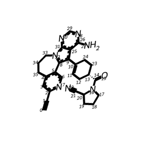 C#Cc1cc2c(cn1)-c1c(C3=CC[C@@H](C(=O)N4CCCC4C#N)CC3)c3c(N)ncnc3n1CCC2